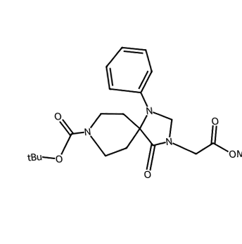 COC(=O)CN1CN(c2ccccc2)C2(CCN(C(=O)OC(C)(C)C)CC2)C1=O